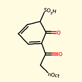 CCCCCCCCCC(=O)C1=CC=CC(S(=O)(=O)O)C1=O